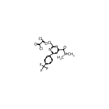 CN(C)C(=O)c1cc(-c2ccc(C(F)(F)F)cc2)nc(Cl)n1.O=C(Cl)C(=O)Cl